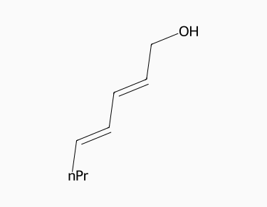 CCC/C=C/C=C/CO